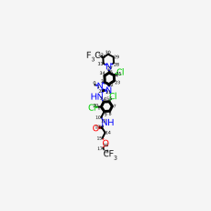 Cn1c(Nc2c(Cl)ccc(CNC(=O)CCOCC(F)(F)F)c2Cl)nc2cc(Cl)c(N3CCCC(C(F)(F)F)C3)cc21